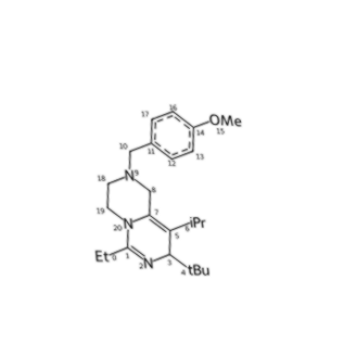 CCC1=NC(C(C)(C)C)C(C(C)C)=C2CN(Cc3ccc(OC)cc3)CCN12